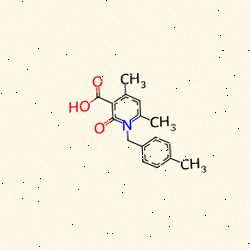 Cc1ccc(Cn2c(C)cc(C)c(C(=O)O)c2=O)cc1